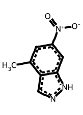 Cc1cc([N+](=O)[O-])cc2[nH]ncc12